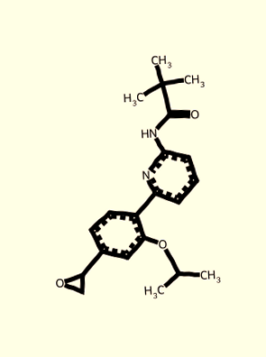 CC(C)Oc1cc(C2CO2)ccc1-c1cccc(NC(=O)C(C)(C)C)n1